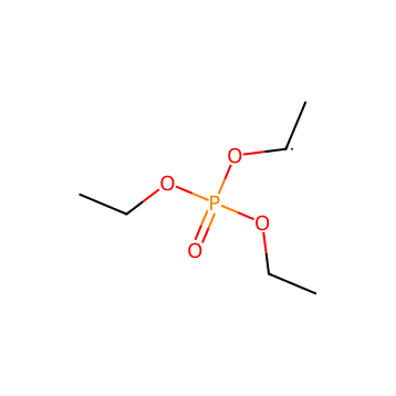 C[CH]OP(=O)(OCC)OCC